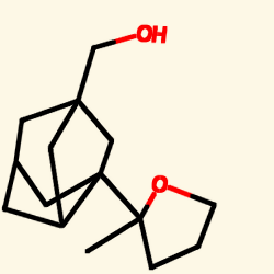 CC1(C23CC4CC2CC(CO)(C4)C3)CCCO1